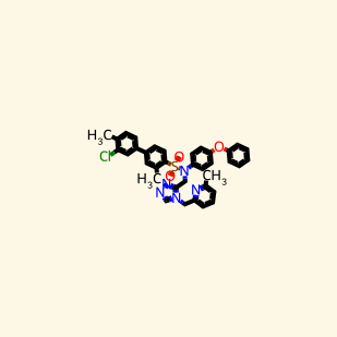 Cc1cccc(Cn2cnnc2CN(c2ccc(Oc3ccccc3)cc2)S(=O)(=O)c2ccc(-c3ccc(C)c(Cl)c3)cc2C)n1